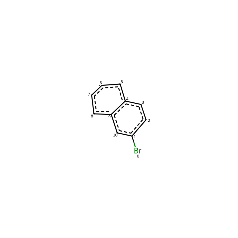 Brc1ccc2c[c]ccc2c1